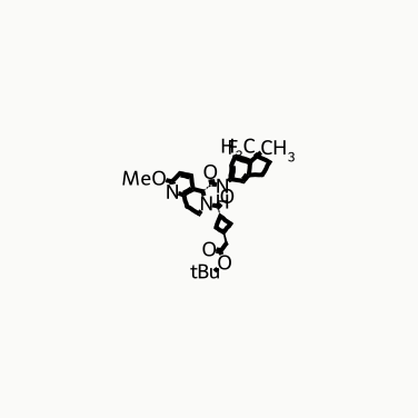 COc1ccc2c(n1)CCN(C(=O)[C@H]1C[C@H](CC(=O)OC(C)(C)C)C1)[C@H]2C(=O)Nc1cc(F)c2c(c1)CCC2(C)C